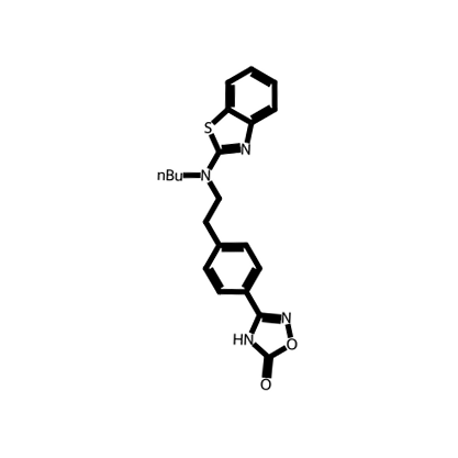 CCCCN(CCc1ccc(-c2noc(=O)[nH]2)cc1)c1nc2ccccc2s1